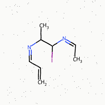 C=C/C=N\C(C)C(I)/N=C\C